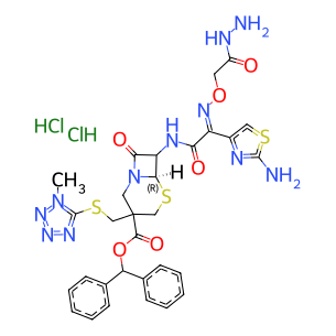 Cl.Cl.Cn1nnnc1SCC1(C(=O)OC(c2ccccc2)c2ccccc2)CS[C@@H]2C(NC(=O)C(=NOCC(=O)NN)c3csc(N)n3)C(=O)N2C1